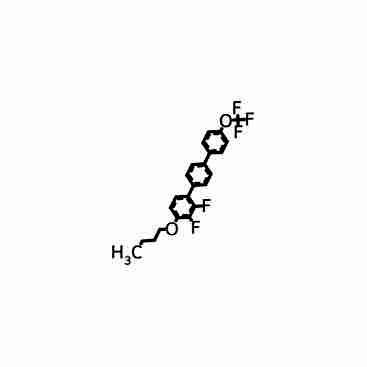 CCCCOc1ccc(-c2ccc(-c3ccc(OC(F)(F)F)cc3)cc2)c(F)c1F